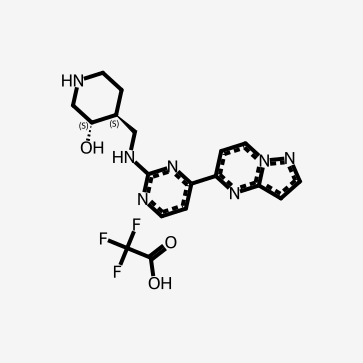 O=C(O)C(F)(F)F.O[C@@H]1CNCC[C@H]1CNc1nccc(-c2ccn3nccc3n2)n1